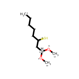 CCCCCC(S)C[SiH](OC)OC